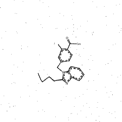 CCCCc1nc2ccccc2n1Cc1ccc(C(=O)O)c(C)c1